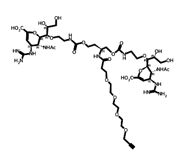 C#CCOCCOCCOCCOCCC(=O)N[C@@H](CCOC(=O)NCCO[C@@H]([C@@H]1OC(C(=O)O)=C[C@H](NC(=N)N)[C@H]1NC(C)=O)[C@H](O)CO)COC(=O)NCCO[C@@H]([C@@H]1OC(C(=O)O)=C[C@H](NC(=N)N)[C@H]1NC(C)=O)[C@H](O)CO